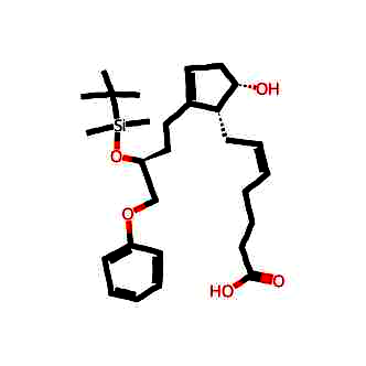 CC(C)(C)[Si](C)(C)O[C@@H](CCC1=CC[C@H](O)[C@@H]1C/C=C\CCCC(=O)O)COc1ccccc1